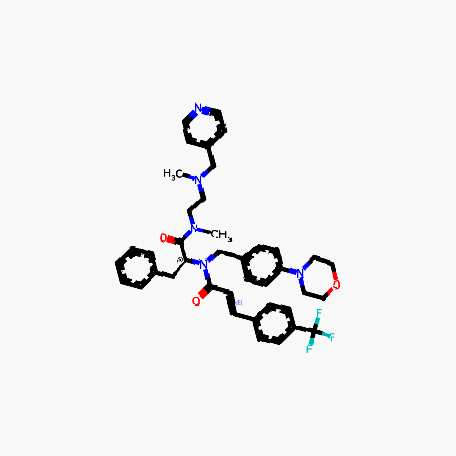 CN(CCN(C)C(=O)[C@H](Cc1ccccc1)N(Cc1ccc(N2CCOCC2)cc1)C(=O)/C=C/c1ccc(C(F)(F)F)cc1)Cc1ccncc1